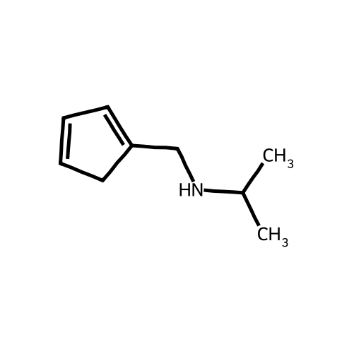 CC(C)NCC1=CC=CC1